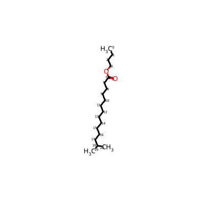 CCCCOC(=O)CCCCCCCCCCCC(C)C